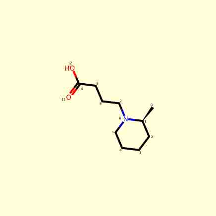 C[C@H]1CCCCN1CCCC(=O)O